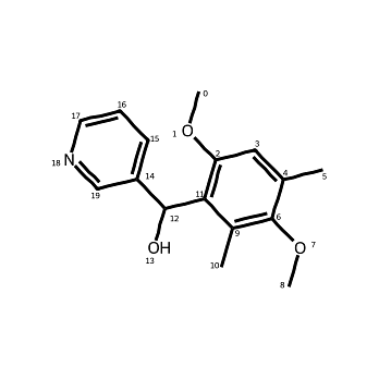 COc1cc(C)c(OC)c(C)c1C(O)c1cccnc1